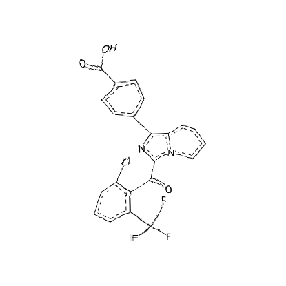 O=C(O)c1ccc(-c2nc(C(=O)c3c(Cl)cccc3C(F)(F)F)n3ccccc23)cc1